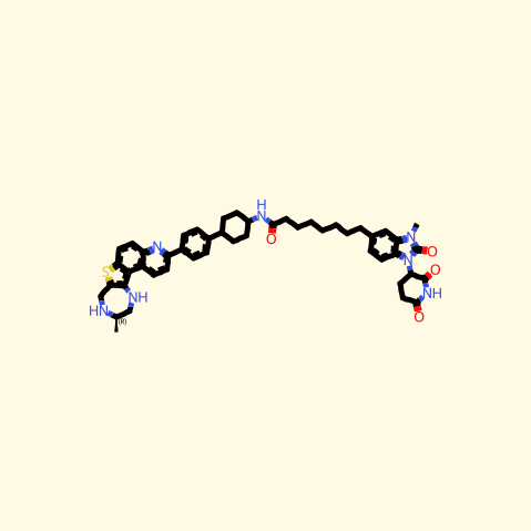 C[C@@H]1CNc2c(sc3ccc4nc(-c5ccc(C6CCC(NC(=O)CCCCCCCc7ccc8c(c7)n(C)c(=O)n8C7CCC(=O)NC7=O)CC6)cc5)ccc4c23)CN1